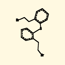 BrCCc1ccccc1Sc1ccccc1CCBr